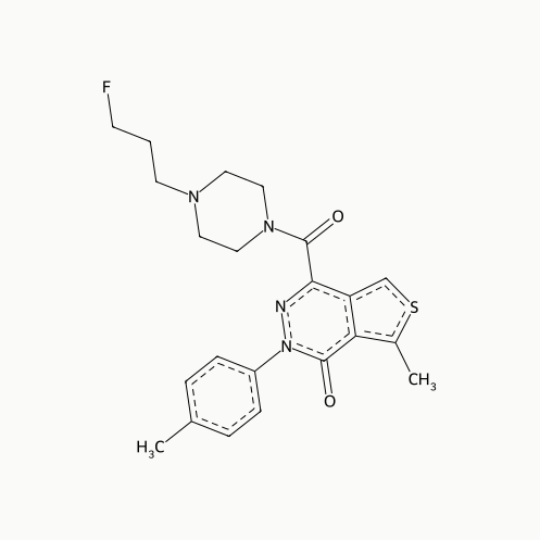 Cc1ccc(-n2nc(C(=O)N3CCN(CCCF)CC3)c3csc(C)c3c2=O)cc1